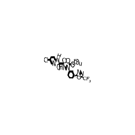 CC(C)(C)OC(=O)N(NC(=O)C(=O)Nc1ccc(Cl)cn1)C1CCC[C@H](c2nnc(C(F)(F)F)o2)C1